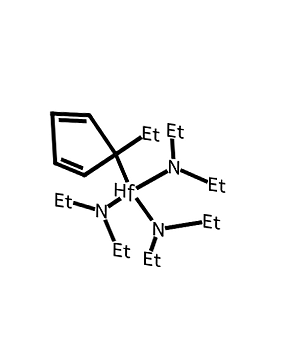 CC[N](CC)[Hf]([N](CC)CC)([N](CC)CC)[C]1(CC)C=CC=C1